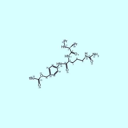 CC(C)N[C@H](C(=O)N[C@@H](CCCNC(N)=O)C(=O)Nc1ccc(COC(=O)C(C)(C)C)cc1)C(C)C